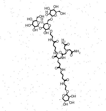 C[C@@H]1OC(OCCNC(=O)CCCNC(=O)CC[C@H](NC(=O)CN(CC(N)=O)CC(N)=O)C(=O)NCCCC(=O)NCCO[C@H]2O[C@H](CO[C@H]3O[C@H](CO)[C@@H](O)[C@H](O)[C@@H]3O)[C@@H](O)[C@H](O[C@H]3O[C@H](CO)[C@@H](O)[C@H](O)[C@@H]3O)[C@@H]2O)[C@@H](O)[C@H](O)[C@@H]1O